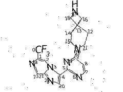 FC(F)(F)c1cn2c(-c3nccc(N4CCC5(CC4)CNC5)n3)cnc2cn1